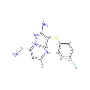 Cc1cc(CN)n2nc(N)c(Sc3ccc(F)cc3)c2n1